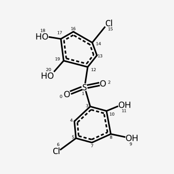 O=S(=O)(c1cc(Cl)cc(O)c1O)c1cc(Cl)cc(O)c1O